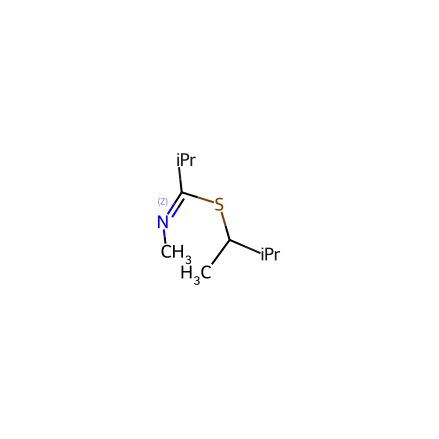 C/N=C(\SC(C)C(C)C)C(C)C